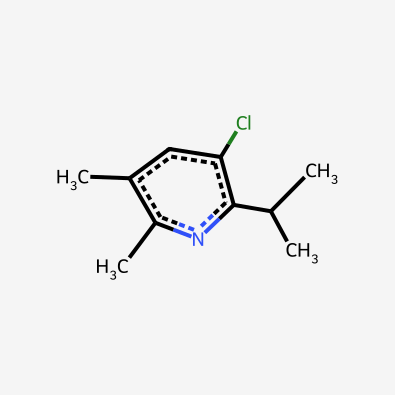 Cc1cc(Cl)c(C(C)C)nc1C